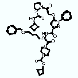 O=C(N[C@@H](CCCCOCc1ccccc1)C(=O)N1CCN(C(=O)OC2CCC2)CC1)c1cc(OCC(=O)N2CCC[C@H]2C(=O)NC2CCC2)n(-c2ccccc2)n1